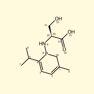 CC1=CC=C(C(C)C)P(N[C@@H](CO)C(=O)O)C1